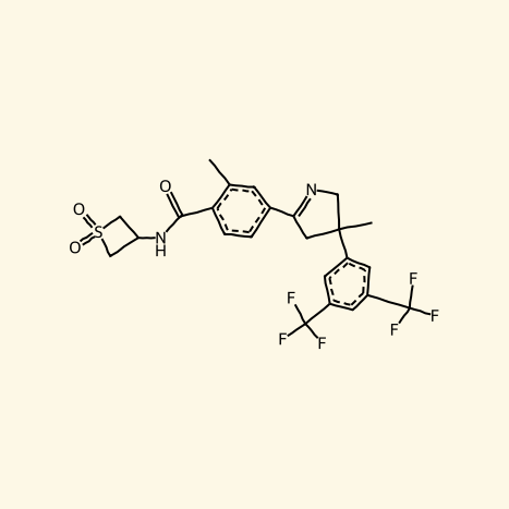 Cc1cc(C2=NCC(C)(c3cc(C(F)(F)F)cc(C(F)(F)F)c3)C2)ccc1C(=O)NC1CS(=O)(=O)C1